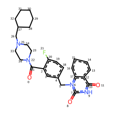 O=C(c1cc(Cn2c(=O)[nH]c(=O)c3ccccc32)ccc1F)N1CCN(CC2CCCCC2)CC1